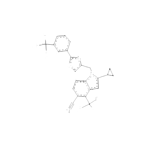 N#Cc1ccc2c(cc(C3CC3)n2Cc2coc(-c3cccc(C(F)(F)F)c3)n2)c1C(F)(F)F